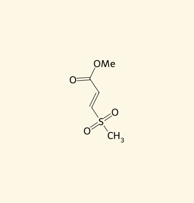 COC(=O)/C=C/S(C)(=O)=O